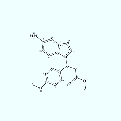 COC(=O)CC(c1ccc(OC)cc1)n1cnc2cc(N)ccc21